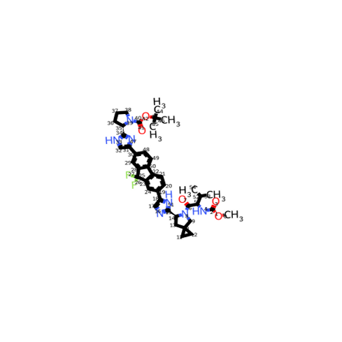 COC(=O)NC(C(=O)N1CC2(CC2)C[C@H]1c1ncc(-c2ccc3c(c2)C(F)(F)c2cc(-c4c[nH]c([C@@H]5CCCN5C(=O)OC(C)(C)C)n4)ccc2-3)[nH]1)C(C)C